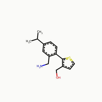 CC(C)c1ccc(-c2sccc2CO)c(CN)c1